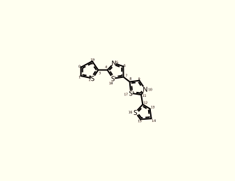 c1csc(-c2ncc(-c3cnc(-c4cccs4)s3)s2)c1